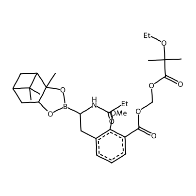 CCOC(C)(C)C(=O)OCOC(=O)c1cccc(CC(NC(=O)CC)B2OC3CC4CC(C4(C)C)C3(C)O2)c1OC